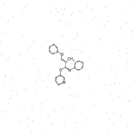 CC(=C\Oc1ccccc1)/C(=N\c1ccccc1)Oc1cccnc1